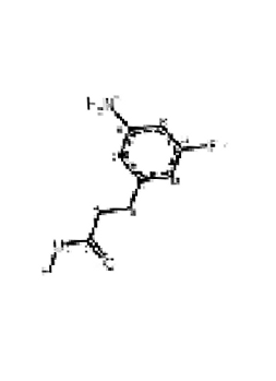 COC(=O)CCc1cc(N)cc(F)c1